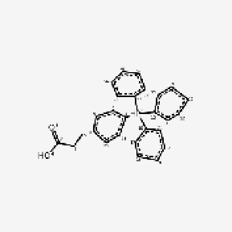 CCC(=O)O.c1ccc([PH](c2ccccc2)(c2ccccc2)c2ccccc2)cc1